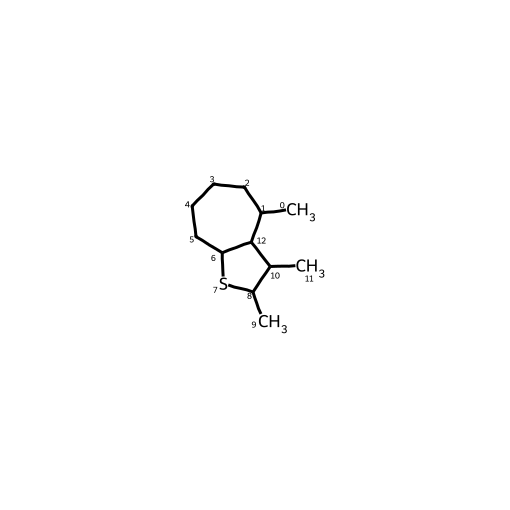 CC1CCCCC2SC(C)C(C)C12